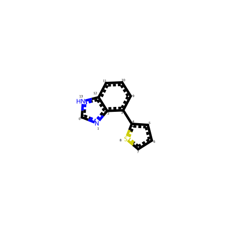 [c]1nc2c(-c3cccs3)cccc2[nH]1